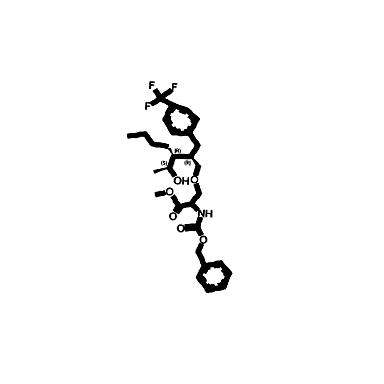 CCCC[C@H]([C@H](COCC(NC(=O)OCc1ccccc1)C(=O)OC)Cc1ccc(C(F)(F)F)cc1)[C@H](C)O